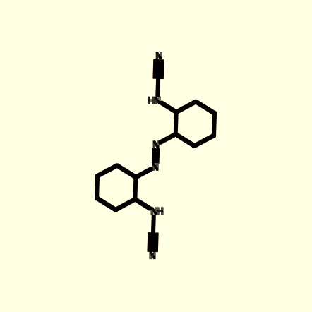 N#CNC1CCCCC1N=NC1CCCCC1NC#N